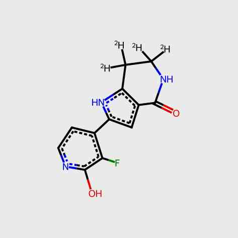 [2H]C1([2H])NC(=O)c2cc(-c3ccnc(O)c3F)[nH]c2C1([2H])[2H]